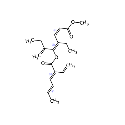 C=C/C(=C\C=C\C)C(=O)O/C(C(=C)CC)=C(/C=C\C(=O)OC)CC